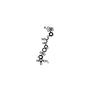 CNS(=O)(=O)c1cccc(OCC(O)CNC2COC3(CCN(S(=O)(=O)c4cnc5[nH]c(=O)n(C)c5c4)CC3)C2)c1